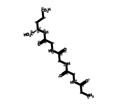 NCC(=O)NCC(=O)NCC(=O)NCC(=O)N[C@@H](CCC(=O)O)C(=O)O